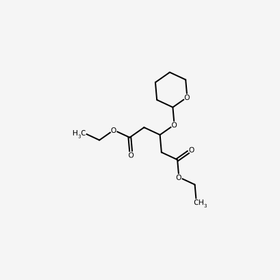 CCOC(=O)CC(CC(=O)OCC)OC1CCCCO1